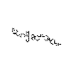 O=C(NC1CCN(Cc2ccncc2)CC1)c1cc2ccc(OC3CCN(c4ccc(O)cc4)CC3)cc2o1